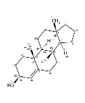 C[C@@]12CCC[C@H]1[C@@H]1CCC3=C[C@@H](O)CC[C@]3(C)[C@H]1CC2